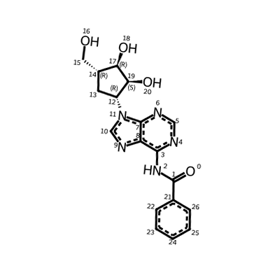 O=C(Nc1ncnc2c1ncn2[C@@H]1C[C@H](CO)[C@@H](O)[C@H]1O)c1ccccc1